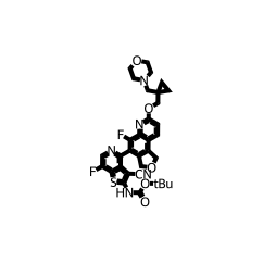 CC(C)(C)OC(=O)Nc1sc2c(F)cnc(-c3c4c(c5ccc(OCC6(CN7CCOCC7)CC6)nc5c3F)COC4)c2c1C#N